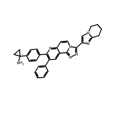 NC1(c2ccc(-c3nc4ccn5c(-c6cn7c(n6)CCCC7)nnc5c4cc3-c3ccccc3)cc2)CC1